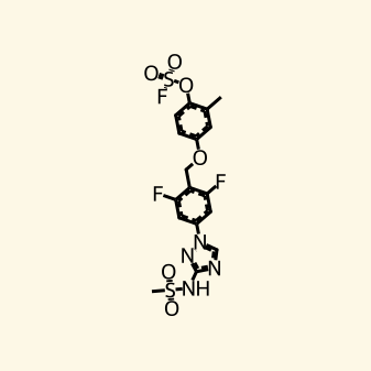 Cc1cc(OCc2c(F)cc(-n3cnc(NS(C)(=O)=O)n3)cc2F)ccc1OS(=O)(=O)F